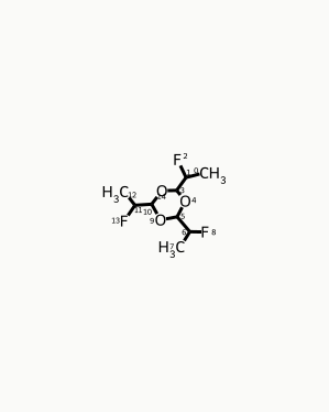 CC(F)C1OC(C(C)F)OC(C(C)F)O1